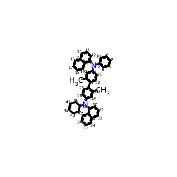 Cc1cc(N(c2ccccc2)c2cccc3ccccc23)ccc1-c1ccc(N(c2cccc3ccccc23)C2CC=CCC2)cc1C